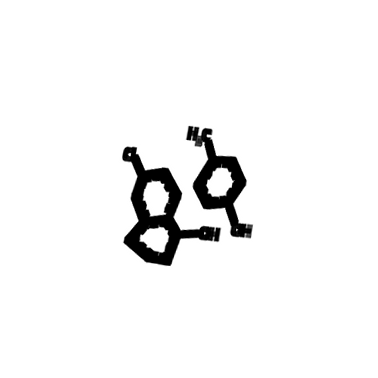 Cc1ccc(O)cc1.Oc1cccc2cc(Cl)ccc12